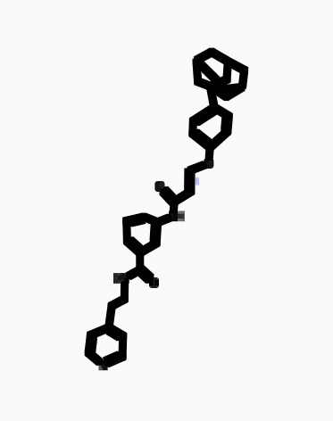 O=C(/C=C/Oc1ccc(C23CC4CC(CC(C4)C2)C3)cc1)Nc1cccc(C(=O)NCCc2ccncc2)c1